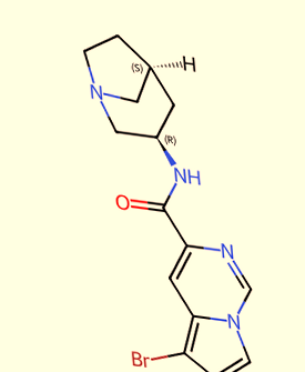 O=C(N[C@@H]1C[C@@H]2CCN(C2)C1)c1cc2c(Br)ccn2cn1